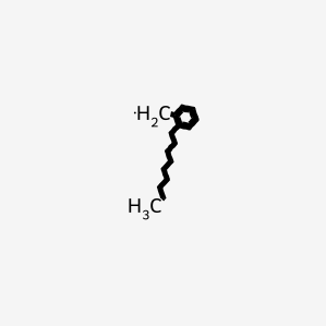 [CH2]c1ccccc1CCCCCCCCC